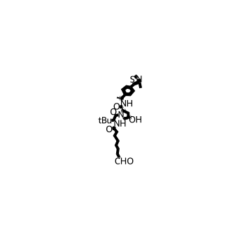 Cc1ncsc1-c1ccc([C@H](C)NC(=O)[C@@H]2C[C@@H](O)CN2C(=O)C(NC(=O)CCCCCCCC=O)C(C)(C)C)cc1